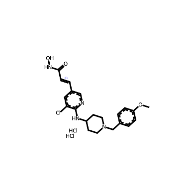 COc1ccc(CN2CCC(Nc3ncc(/C=C/C(=O)NO)cc3Cl)CC2)cc1.Cl.Cl